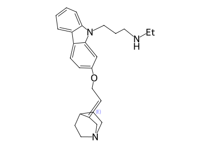 CCNCCCn1c2ccccc2c2ccc(OC/C=C3/CN4CCC3CC4)cc21